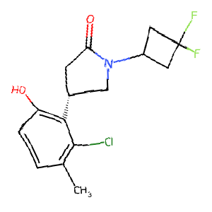 Cc1ccc(O)c([C@@H]2CC(=O)N(C3CC(F)(F)C3)C2)c1Cl